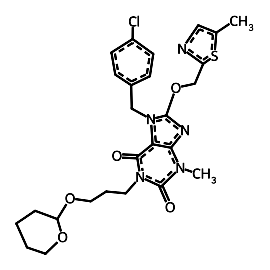 Cc1cnc(COc2nc3c(c(=O)n(CCCOC4CCCCO4)c(=O)n3C)n2Cc2ccc(Cl)cc2)s1